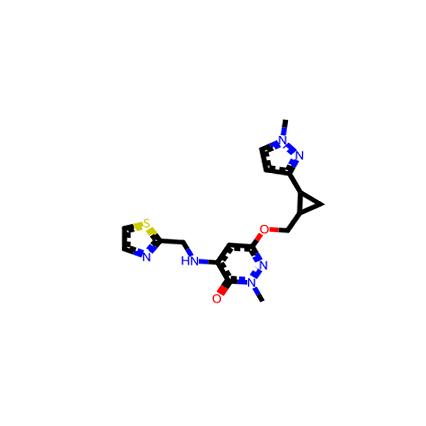 Cn1ccc(C2CC2COc2cc(NCc3nccs3)c(=O)n(C)n2)n1